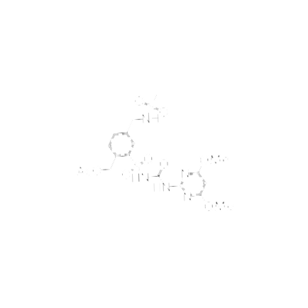 COc1cc(OC)nc(NC(=O)NS(=O)(=O)c2cc(CNS(C)(=O)=O)ccc2COC(C)=O)n1